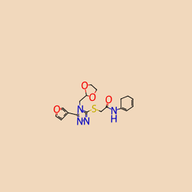 O=C(CSc1nnc(-c2ccoc2)n1CC1OCCO1)NC1=CC=CCC1